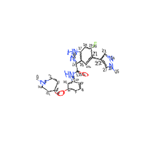 CN1CCC(Oc2cccc(NC(=O)c3n[nH]c4cc(F)c(-c5cnn(C)c5)cc34)c2)CC1